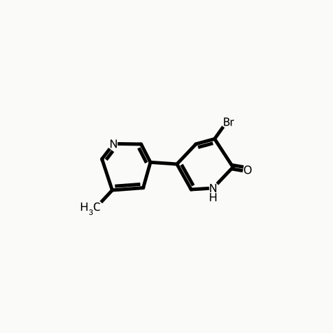 Cc1cncc(-c2c[nH]c(=O)c(Br)c2)c1